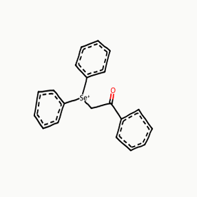 O=C(C[Se+](c1ccccc1)c1ccccc1)c1ccccc1